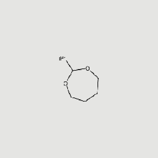 CC(C)C1OCCCCO1